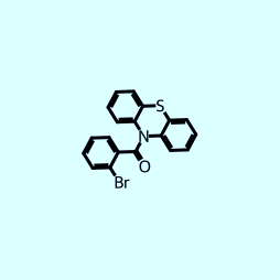 O=C(c1ccccc1Br)N1c2ccccc2Sc2ccccc21